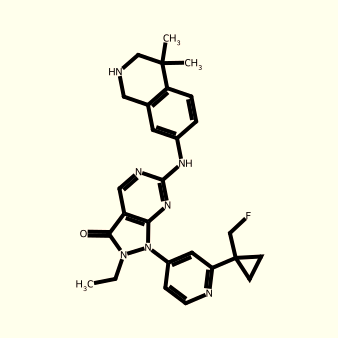 CCn1c(=O)c2cnc(Nc3ccc4c(c3)CNCC4(C)C)nc2n1-c1ccnc(C2(CF)CC2)c1